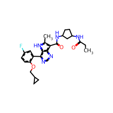 CCC(=O)NC1CCC(NC(=O)c2c(C)[nH]c3c(-c4cc(F)ccc4OCC4CC4)ncnc23)C1